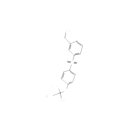 CCC(C)(C)Oc1ccc(S(=O)(=O)c2cccc(CC(C)C)c2)cc1